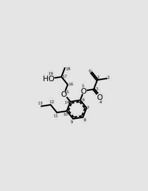 C=C(C)C(=O)Oc1cccc(CCC)c1OCC(C)O